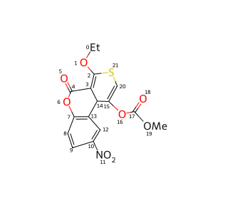 CCOC1=C2C(=O)Oc3ccc([N+](=O)[O-])cc3C2C(OC(=O)OC)=CS1